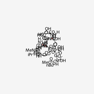 CCCCOC(CNC1(C)CC(OC2C(Oc3c4cc5cc3Oc3ccc(cc3Cl)[C@@H](O)[C@@H]3NC(=O)C(NC(=O)[C@@H]5NC(=O)[C@H](CC(N)=O)NC(=O)C(NC(=O)[C@@H](CC(C)C)NC)[C@H](O)c5ccc(c(Cl)c5)O4)c4ccc(O)c(c4)-c4c(O)cc(O)cc4[C@H](C(=O)O)NC3=O)OC(CO)C3(O)COC23)OC(C)C1O)C(=O)OC